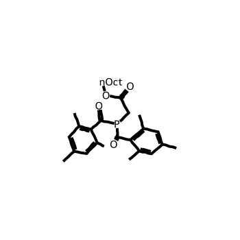 CCCCCCCCOC(=O)CP(C(=O)c1c(C)cc(C)cc1C)C(=O)c1c(C)cc(C)cc1C